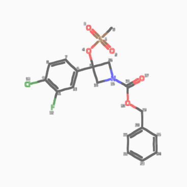 CS(=O)(=O)OC1(c2ccc(Cl)c(F)c2)CN(C(=O)OCc2ccccc2)C1